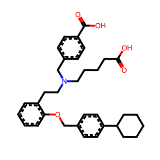 O=C(O)CCCCN(CCc1ccccc1OCc1ccc(C2CCCCC2)cc1)Cc1ccc(C(=O)O)cc1